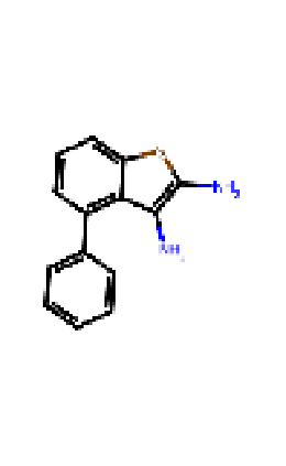 Nc1sc2cccc(-c3ccccc3)c2c1N